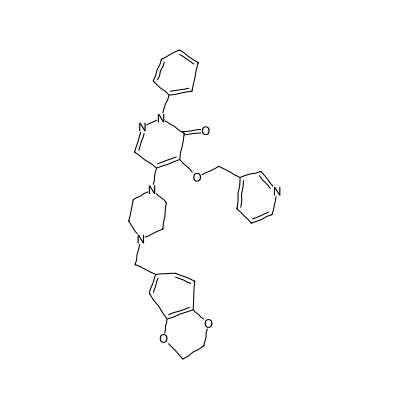 O=c1c(OCc2cccnc2)c(N2CCN(Cc3ccc4c(c3)OCCO4)CC2)cnn1-c1ccccc1